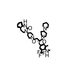 CNc1c(C)cc(C[C@@H](CC(=O)N2CCC(N3CCc4ccccc4NC3=O)CC2)C(=O)N2CCC(N3CCCCC3)CC2)cc1C(F)(F)F